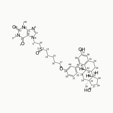 Cn1c(=O)c2c(ncn2CC[S+]([O-])CCCCCOc2ccc([C@H]3C[C@]4(C)[C@@H](O)CC[C@H]4[C@@H]4CCc5cc(O)ccc5[C@H]43)cc2)n(C)c1=O